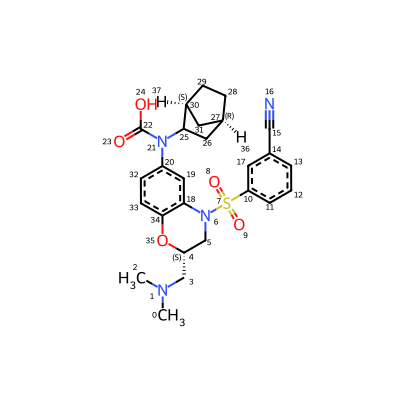 CN(C)C[C@H]1CN(S(=O)(=O)c2cccc(C#N)c2)c2cc(N(C(=O)O)C3C[C@@H]4CC[C@H]3C4)ccc2O1